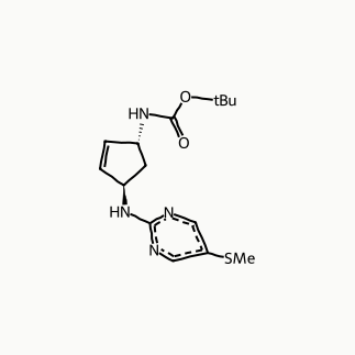 CSc1cnc(N[C@H]2C=C[C@H](NC(=O)OC(C)(C)C)C2)nc1